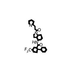 O=C(Nc1cccc2c1CCN2C(=O)CCc1ccccn1)c1cc(C(F)(F)F)ccc1-c1ccccc1